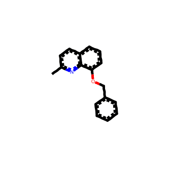 Cc1ccc2cccc(OCc3cc[c]cc3)c2n1